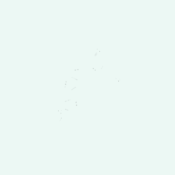 Cn1c(=O)oc2ccc(-c3ccc4cc(CC(C#N)NC(=O)[C@@H]5CNCCCO5)sc4c3)cc21